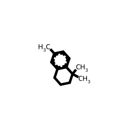 Cc1ccc2c(c1)CCCC2(C)C